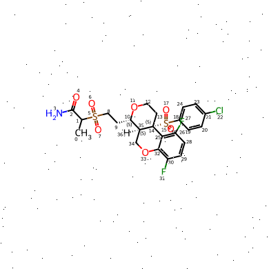 CC(C(N)=O)S(=O)(=O)CC[C@@H]1OCC[C@@]2(S(=O)(=O)c3ccc(Cl)cc3)c3c(F)ccc(F)c3OC[C@@H]12